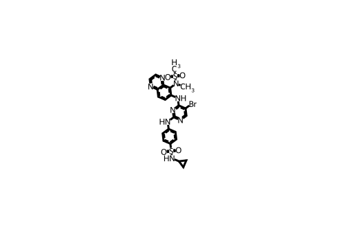 CN(c1c(Nc2nc(Nc3ccc(S(=O)(=O)NC4CC4)cc3)ncc2Br)ccc2nccnc12)S(C)(=O)=O